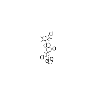 C=C(CCl)C12CCC(C)C(C)=C1C(=O)C(CC1CCC(CCC3OCCCO3)(C(C)CCl)CC1=O)C2